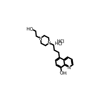 Cl.Cl.OCCN1CCN(CCCc2ccc(O)c3ncccc23)CC1